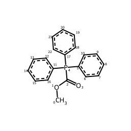 COC(=O)[P](c1ccccc1)(c1ccccc1)c1ccccc1